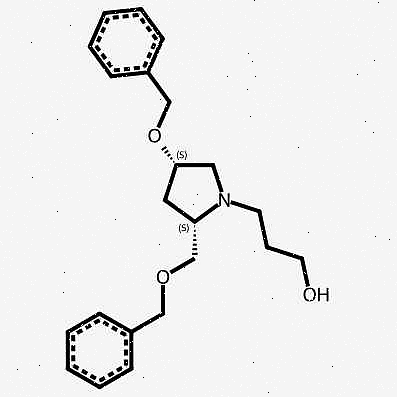 OCCCN1C[C@@H](OCc2ccccc2)C[C@H]1COCc1ccccc1